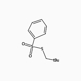 CC(C)(C)CSS(=O)(=O)c1ccccc1